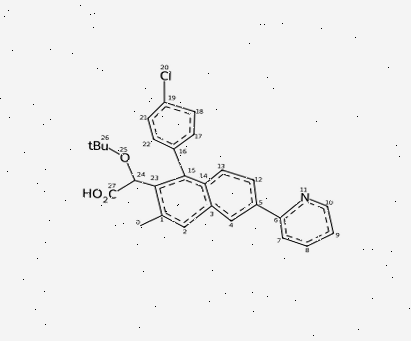 Cc1cc2cc(-c3ccccn3)ccc2c(-c2ccc(Cl)cc2)c1C(OC(C)(C)C)C(=O)O